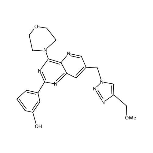 COCc1cn(Cc2cnc3c(N4CCOCC4)nc(-c4cccc(O)c4)nc3c2)nn1